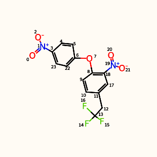 O=[N+]([O-])c1ccc(Oc2ccc(CC(F)(F)F)cc2[N+](=O)[O-])cc1